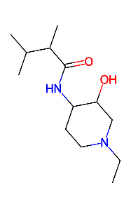 CCN1CCC(NC(=O)C(C)C(C)C)C(O)C1